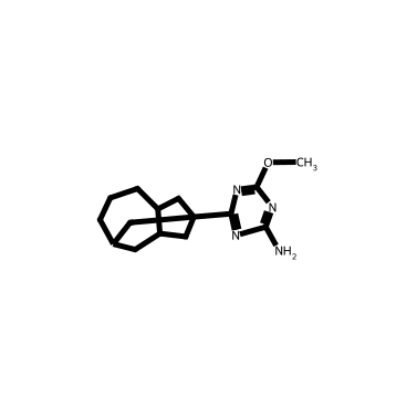 COc1nc(N)nc(C23CC4CCCC(C2)C(C4)C3)n1